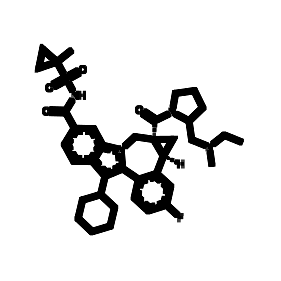 CCN(C)CC1CCCN1C(=O)[C@]12C[C@H]1c1cc(F)ccc1-c1c(C3CCCCC3)c3ccc(C(=O)NS(=O)(=O)C4(C)CC4)cc3n1C2